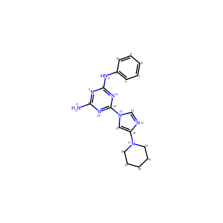 Nc1nc(Nc2ccccc2)nc(-n2cnc(N3CCCCC3)c2)n1